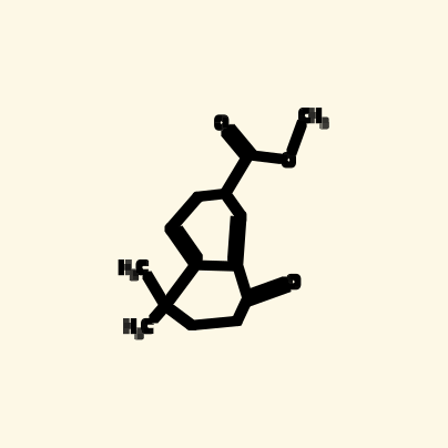 COC(=O)C1C=C2C(=O)CCC(C)(C)C2=CC1